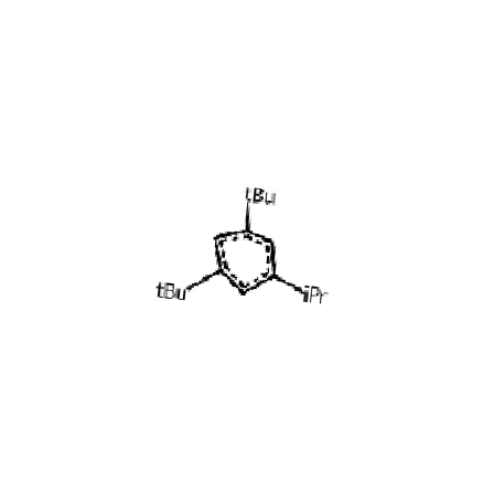 [CH2]C(C)c1cc(C(C)(C)C)cc(C(C)(C)C)c1